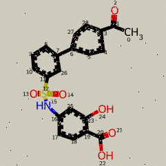 CC(=O)c1ccc(-c2cccc(S(=O)(=O)Nc3ccc(C(=O)O)c(O)c3)c2)cc1